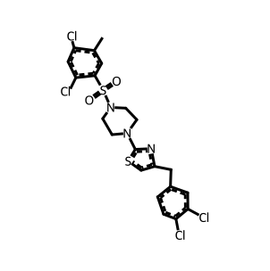 Cc1cc(S(=O)(=O)N2CCN(c3nc(Cc4ccc(Cl)c(Cl)c4)cs3)CC2)c(Cl)cc1Cl